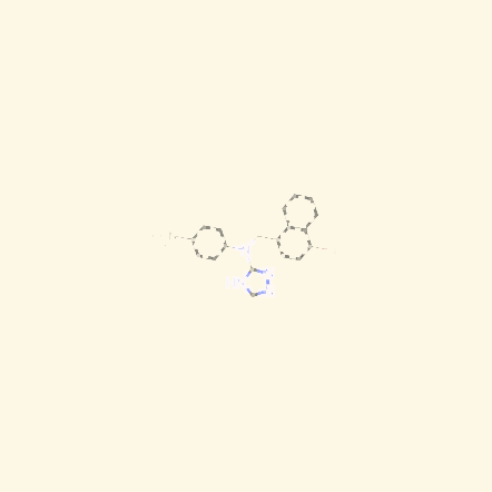 O=[N+]([O-])c1ccc(N(Cc2ccc(Br)c3ccccc23)c2nnc[nH]2)cc1